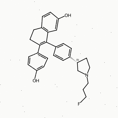 Oc1ccc(C2=C(c3ccc([C@@H]4CCN(CCCF)C4)cc3)c3cc(O)ccc3CC2)cc1